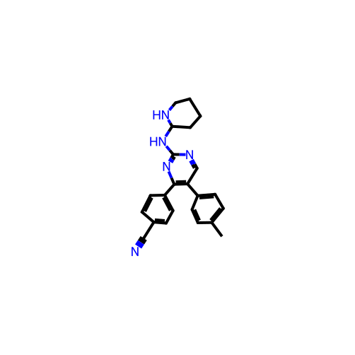 Cc1ccc(-c2cnc(NC3CCCCN3)nc2-c2ccc(C#N)cc2)cc1